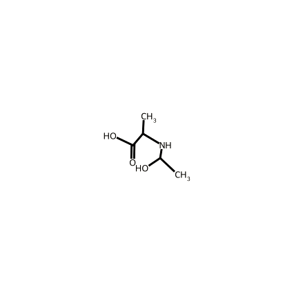 CC(O)NC(C)C(=O)O